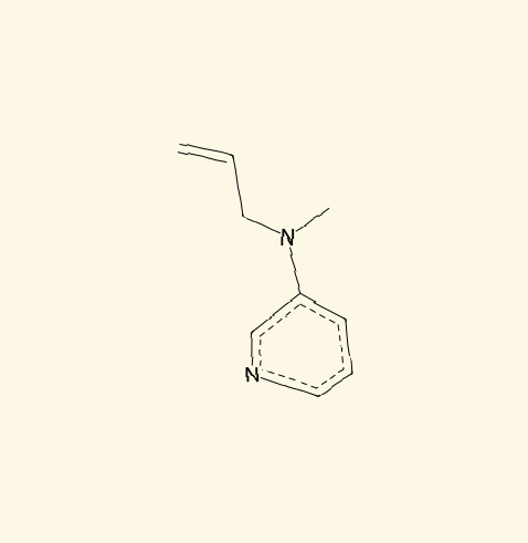 C=CCN(C)c1cccnc1